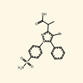 CC(C(=O)O)c1nn(-c2ccc(S(N)(=O)=O)cc2)c(-c2ccccc2)c1Br